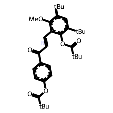 COc1c(C(C)(C)C)cc(C(C)(C)C)c(OC(=O)C(C)(C)C)c1/C=C/C(=O)c1ccc(OC(=O)C(C)(C)C)cc1